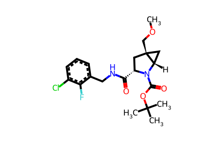 COC[C@@]12C[C@@H]1N(C(=O)OC(C)(C)C)[C@H](C(=O)NCc1cccc(Cl)c1F)C2